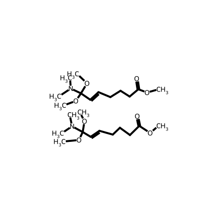 COC(=O)CCCC=CC(OC)(OC)N(C)C.COC(=O)CCCC=CC(OC)(OC)N(C)C